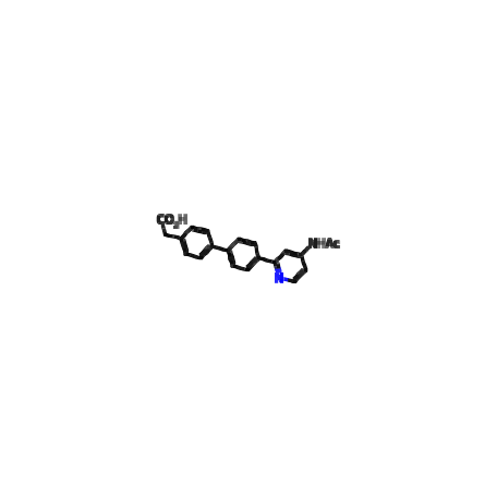 CC(=O)Nc1ccnc(-c2ccc(-c3ccc(CC(=O)O)cc3)cc2)c1